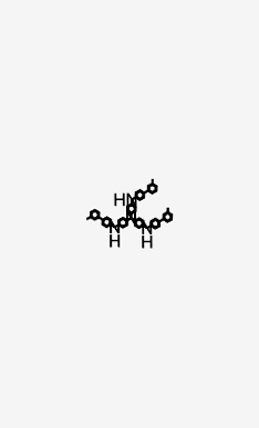 Cc1cccc(-c2ccc(Nc3ccc(N(c4ccc(Nc5ccc(-c6cccc(C)c6)cc5)cc4)c4ccc(Nc5ccc(-c6cccc(C)c6)cc5)cc4)cc3)cc2)c1